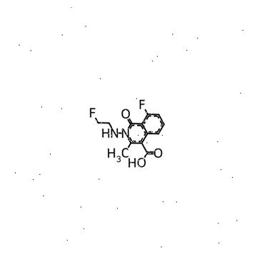 Cc1c(C(=O)O)c2cccc(F)c2c(=O)n1NCCF